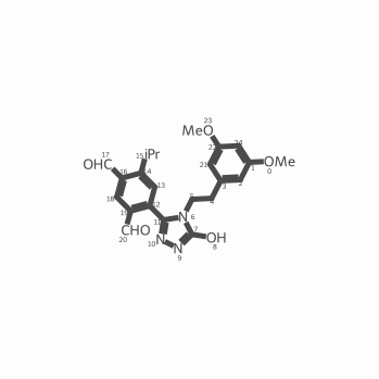 COc1cc(CCn2c(O)nnc2-c2cc(C(C)C)c(C=O)cc2C=O)cc(OC)c1